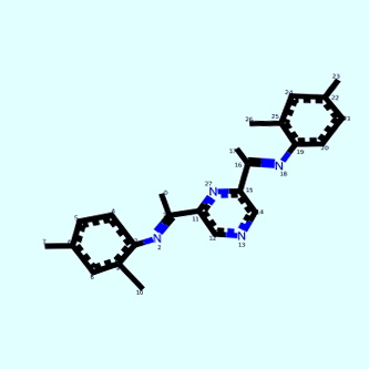 C/C(=N\c1ccc(C)cc1C)c1cncc(/C(C)=N/c2ccc(C)cc2C)n1